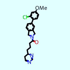 COc1ccc(-c2ccc3c(c2)CN(C(=O)CCCC2CC=NC=N2)C3)c(Cl)c1